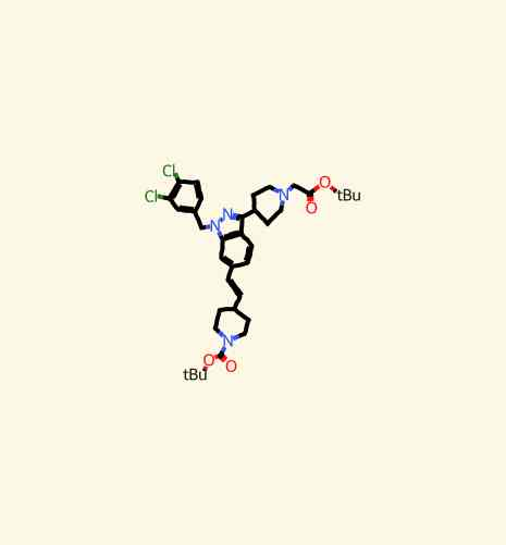 CC(C)(C)OC(=O)CN1CCC(c2nn(Cc3ccc(Cl)c(Cl)c3)c3cc(/C=C/C4CCN(C(=O)OC(C)(C)C)CC4)ccc23)CC1